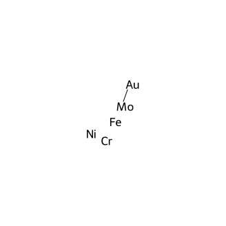 [Cr].[Fe].[Mo][Au].[Ni]